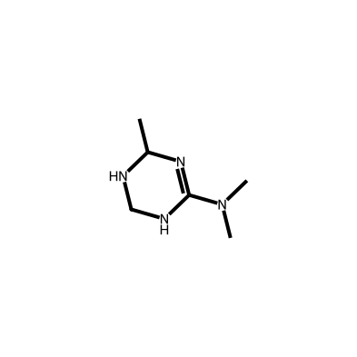 CC1N=C(N(C)C)NCN1